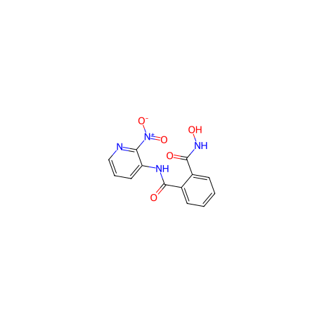 O=C(NO)c1ccccc1C(=O)Nc1cccnc1[N+](=O)[O-]